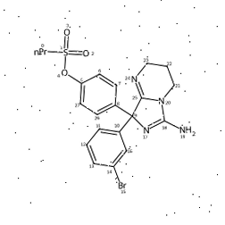 CCCS(=O)(=O)Oc1ccc(C2(c3cccc(Br)c3)N=C(N)N3CCCN=C32)cc1